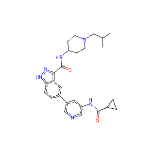 CC(C)CN1CCC(NC(=O)c2n[nH]c3ccc(-c4cncc(NC(=O)C5CC5)c4)cc23)CC1